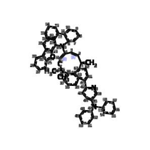 C=C1/C=C\C(N(c2ccccc2-c2ccccc2)c2cccc3c2oc2ccccc23)=C/C[Si](C)(C)c2cccc3c(-c4ccc(N(c5ccccc5)c5ccccc5)cn4)ccc1c23